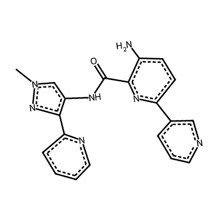 Cn1cc(NC(=O)c2nc(-c3cccnc3)ccc2N)c(-c2ccccn2)n1